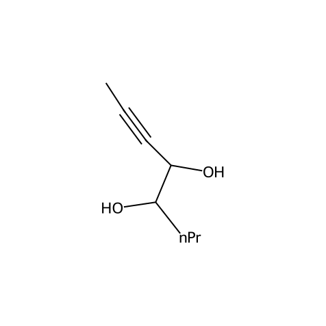 CC#CC(O)C(O)CCC